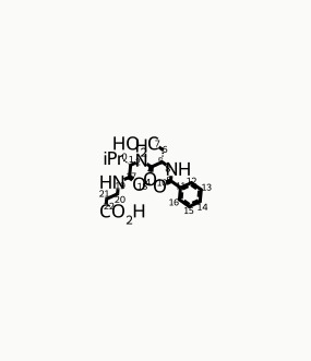 CC(C)[C@H](NC(=O)[C@H](CC(=O)O)NC(=O)c1ccccc1)C(=O)NCCC(=O)O